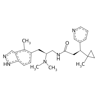 Cc1c(C[C@@H](CNC(=O)C[C@@H](c2cccnc2)C2(C)CC2)N(C)C)ccc2[nH]ncc12